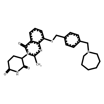 Cc1nc2c(SCc3ccc(CN4CCCCCC4)cc3)cccc2c(=O)n1C1CCC(=O)NC1=O